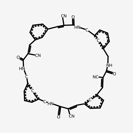 N#C/C1=C/c2cccc(c2)/C=C(\C#N)C(=O)NCc2cccc(c2)CNC(=O)/C(C#N)=C/c2cccc(c2)/C=C(\C#N)C(=O)NCc2cccc(c2)CNC1=O